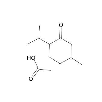 CC(=O)O.CC1CCC(C(C)C)C(=O)C1